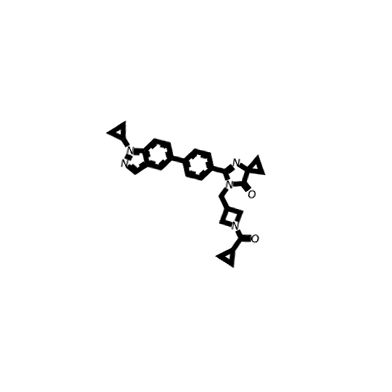 O=C(C1CC1)N1CC(CN2C(=O)C3(CC3)N=C2c2ccc(-c3ccc4c(cnn4C4CC4)c3)cc2)C1